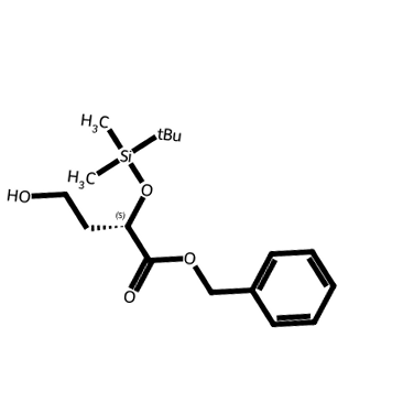 CC(C)(C)[Si](C)(C)O[C@@H](CCO)C(=O)OCc1ccccc1